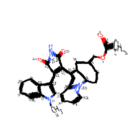 CC(=O)OCC1CCc2c(c(C3=C(c4cn(C)c5ccccc45)C(=O)NC3=O)c3ccccn23)C1